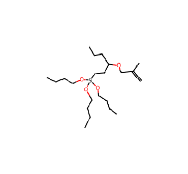 C=C(C)COC(CCC)CC[Si](OCCCC)(OCCCC)OCCCC